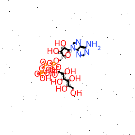 Nc1ncnc2c1ncn2[C@@H]1O[C@H](COP(=O)(OC(=O)[C@H](O)[C@@H](O)[C@H](O)[C@H](O)CO)OP(=O)(O)OP(=O)(O)O)[C@@H](O)[C@H]1O